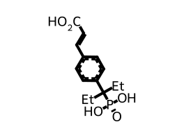 CCC(CC)(c1ccc(/C=C/C(=O)O)cc1)P(=O)(O)O